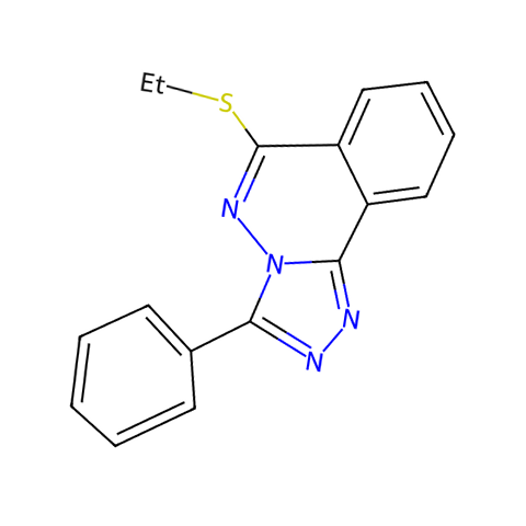 CCSc1nn2c(-c3ccccc3)nnc2c2ccccc12